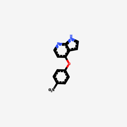 O=[N+]([O-])c1ccc(Oc2ccnc3[nH]ccc23)cc1